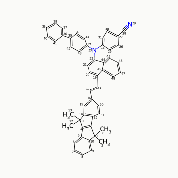 CC1(C)C2=C(c3ccccc31)C(C)(C)c1cc(/C=C/c3ccc(N(c4ccc(C#N)cc4)c4ccc(-c5ccccc5)cc4)c4ccccc34)ccc12